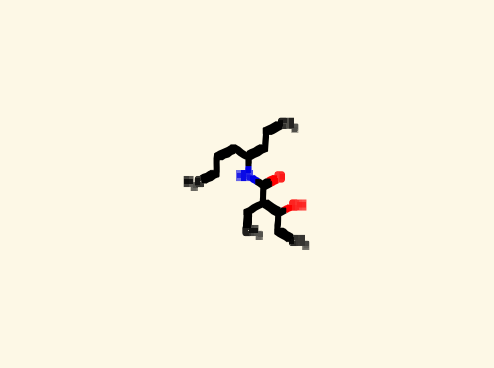 C=C/C=C\C(=C/C=C)NC(=O)/C(C=C)=C(\O)C=C